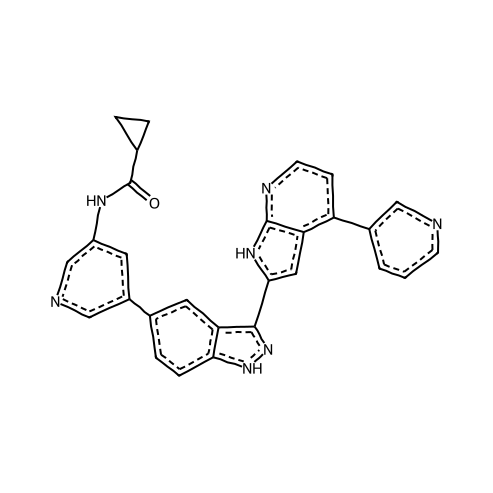 O=C(Nc1cncc(-c2ccc3[nH]nc(-c4cc5c(-c6cccnc6)ccnc5[nH]4)c3c2)c1)C1CC1